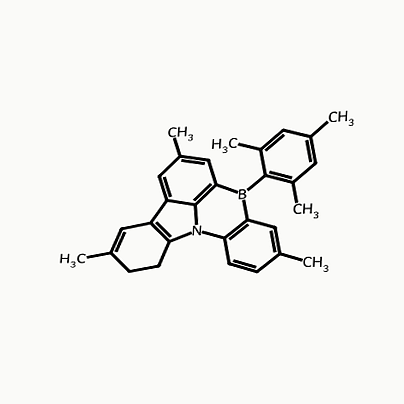 CC1=Cc2c(n3c4c(cc(C)cc24)B(c2c(C)cc(C)cc2C)c2cc(C)ccc2-3)CC1